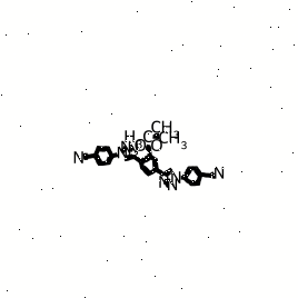 CC(C)(C)OC(=O)c1cc(-c2cn(-c3ccc(C#N)cc3)nn2)ccc1-c1cn(-c2ccc(C#N)cc2)nn1